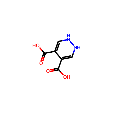 O=C(O)C1=CNNC=C1C(=O)O